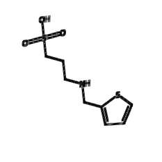 O=S(=O)(O)CCCNCc1cccs1